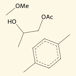 CC(=O)OCC(C)O.COC.Cc1ccc(C)cc1